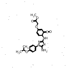 COC(=O)COC1=CC(=C=O)C(Nc2nc(N)n(-c3ccc(OC(C)C)cc3)n2)C=C1